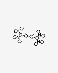 Cc1cc(-c2ccc(-c3cc(N(c4ccccc4)c4ccccc4)cc(N(c4ccccc4)c4ccccc4)c3)c(C)c2)ccc1-c1cc(N(c2ccccc2)c2ccccc2)cc(N(c2ccccc2)c2ccccc2)c1